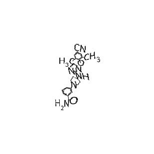 Cc1cc(C#N)cc(C)c1Oc1ccnc(NC2CCN(c3cccc(C(N)=O)c3)CC2)n1